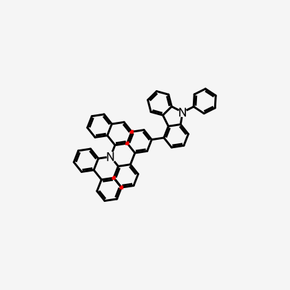 c1ccc(-c2ccccc2N(c2ccccc2-c2cccc(-c3cccc4c3c3ccccc3n4-c3ccccc3)c2)c2cccc3ccccc23)cc1